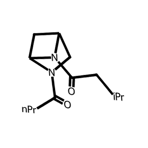 CCCC(=O)N1CC2CC1N2C(=O)CC(C)C